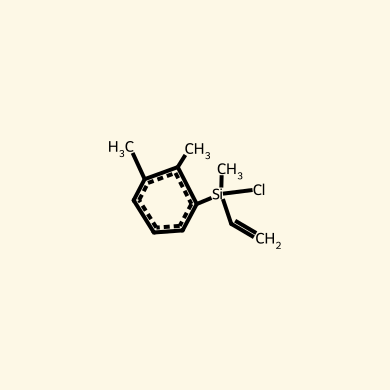 C=C[Si](C)(Cl)c1cccc(C)c1C